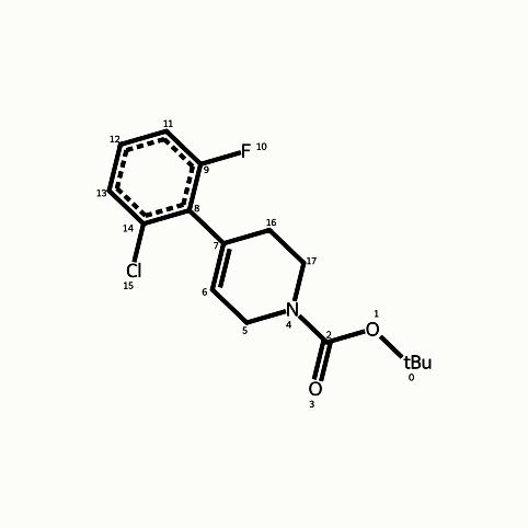 CC(C)(C)OC(=O)N1CC=C(c2c(F)cccc2Cl)CC1